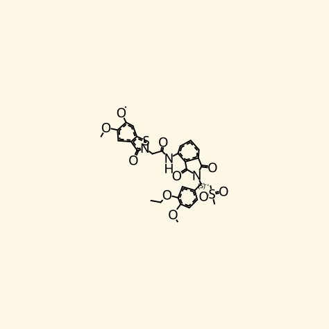 CCOc1cc([C@@H](CS(C)(=O)=O)N2C(=O)c3cccc(NC(=O)Cn4sc5cc(OC)c(OC)cc5c4=O)c3C2=O)ccc1OC